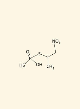 CC(C[N+](=O)[O-])SP(=O)(O)S